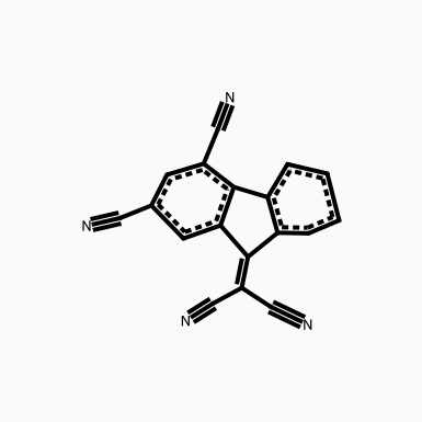 N#CC(C#N)=C1c2ccccc2-c2c(C#N)cc(C#N)cc21